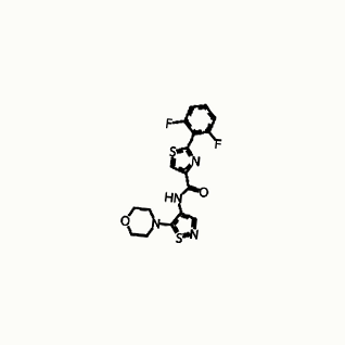 O=C(Nc1cnsc1N1CCOCC1)c1csc(-c2c(F)cccc2F)n1